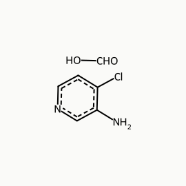 Nc1cnccc1Cl.O=CO